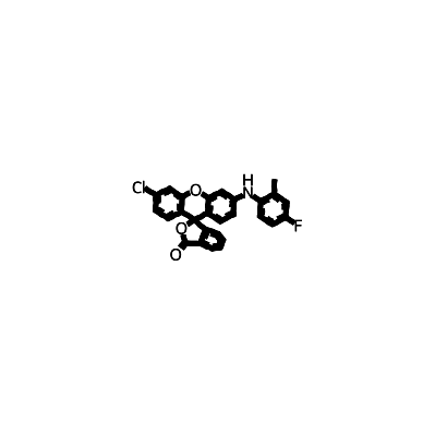 Cc1cc(F)ccc1Nc1ccc2c(c1)Oc1cc(Cl)ccc1C21OC(=O)c2ccccc21